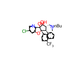 CCCCN(C)C[C@H]1[C@@H](O)[C@@]2(O)c3ncc(Cl)cc3O[C@@]2(c2ccc(C(F)(F)F)cc2)[C@@H]1c1ccccc1